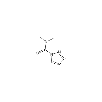 CN(C)C(=O)n1cc[c]n1